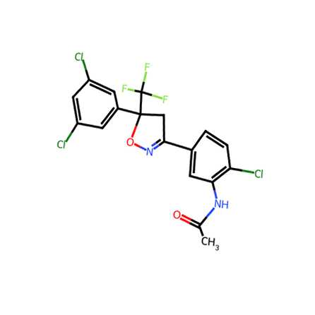 CC(=O)Nc1cc(C2=NOC(c3cc(Cl)cc(Cl)c3)(C(F)(F)F)C2)ccc1Cl